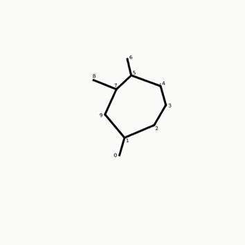 CC1CC[CH]C(C)C(C)C1